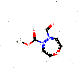 COC(=O)n1ccoccn1C=O